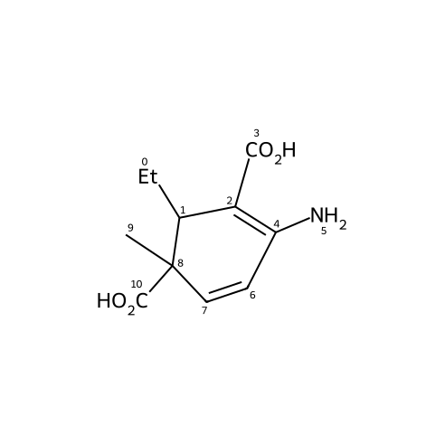 CCC1C(C(=O)O)=C(N)C=CC1(C)C(=O)O